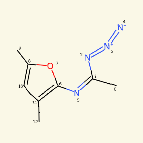 C/C(N=[N+]=[N-])=N/c1oc(C)cc1C